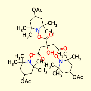 CC(=O)OC1CC(C)(C)N(OC(=O)CC(O)(CC(=O)ON2C(C)(C)CC(OC(C)=O)CC2(C)C)C(=O)ON2C(C)(C)CC(OC(C)=O)CC2(C)C)C(C)(C)C1